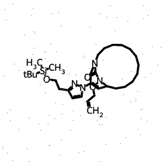 C=CCON1C(=O)N2CCCCCCCCCCCC1C=C(n1ccc(CCO[Si](C)(C)C(C)(C)C)n1)C2